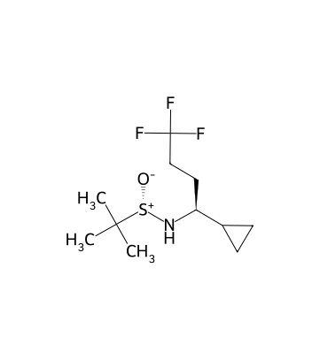 CC(C)(C)[S@+]([O-])N[C@@H](CCC(F)(F)F)C1CC1